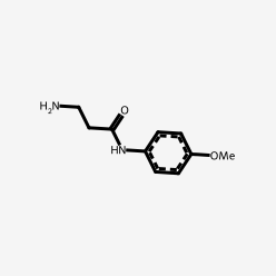 COc1ccc(NC(=O)CCN)cc1